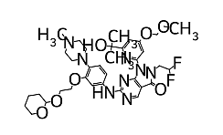 COCOc1cc(-n2c3nc(Nc4ccc(N5CCN(C)CC5)c(OCCOC5CCCCO5)c4)ncc3c(=O)n2CC(F)F)nc(C(C)(C)O)c1